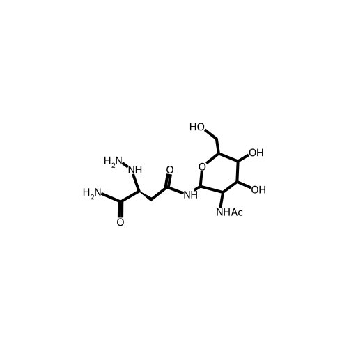 CC(=O)NC1C(NC(=O)C[C@H](NN)C(N)=O)OC(CO)C(O)C1O